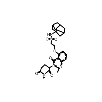 Cc1nc2cccc(OCCS(=O)(=O)NC34CC5CC(CC(C5)C3)C4)c2c(=O)n1C1CCC(=O)NC1=O